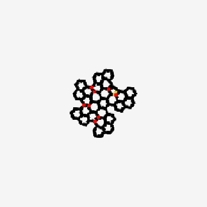 c1csc(-c2c(-c3ccc4ccc5cccc6ccc3c4c56)c(-c3ccc4ccc5cccc6ccc3c4c56)c(-c3ccc4ccc5cccc6ccc3c4c56)c(-c3ccc4ccc5cccc6ccc3c4c56)c2-c2ccc3ccc4cccc5ccc2c3c45)c1